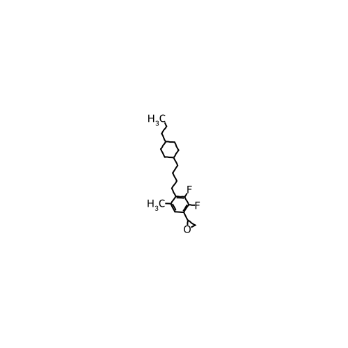 CCCC1CCC(CCCCc2c(C)cc(C3CO3)c(F)c2F)CC1